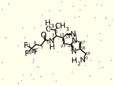 CC(C)C(NC(=O)CCC(F)(F)F)c1cnn2cc(CN)nc2c1